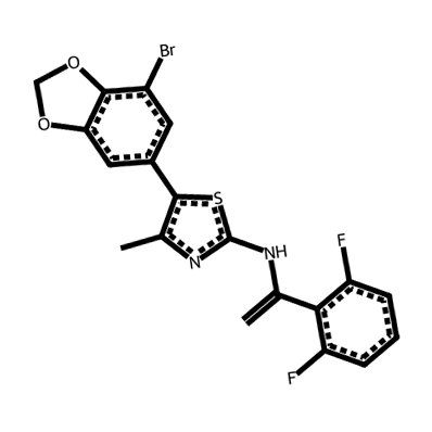 C=C(Nc1nc(C)c(-c2cc(Br)c3c(c2)OCO3)s1)c1c(F)cccc1F